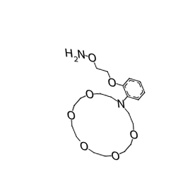 NOCCOc1ccccc1N1CCOCCOCCOCCOCCOCC1